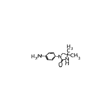 CC1(C)CN(c2ccc(N)cc2)C(=O)N1